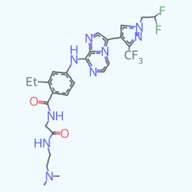 CCc1cc(Nc2nccn3c(-c4cn(CC(F)F)nc4C(F)(F)F)cnc23)ccc1C(=O)NCC(=O)NCCN(C)C